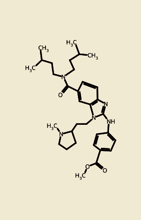 COC(=O)c1ccc(Nc2nc3ccc(C(=O)N(CCC(C)C)CCC(C)C)cc3n2CCC2CCCN2C)cc1